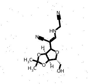 CC1(C)O[C@@H]2[C@@H](CO)OC(/C(C#N)=C/NCC#N)[C@@H]2O1